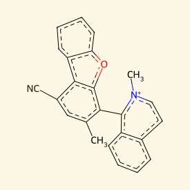 Cc1cc(C#N)c2c(oc3ccccc32)c1-c1c2ccccc2cc[n+]1C